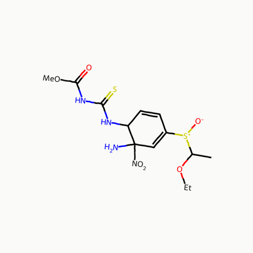 CCOC(C)[S+]([O-])C1=CC(N)([N+](=O)[O-])C(NC(=S)NC(=O)OC)C=C1